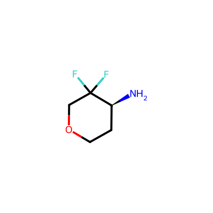 N[C@H]1CCOCC1(F)F